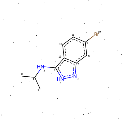 CC(C)Nc1[nH]nc2cc(Br)ccc12